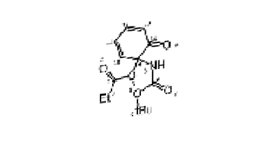 CCC(=O)OC1(NC(=O)OC(C)(C)C)C=CC=CC1=O